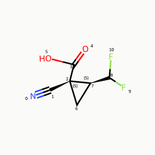 N#C[C@]1(C(=O)O)C[C@@H]1C(F)F